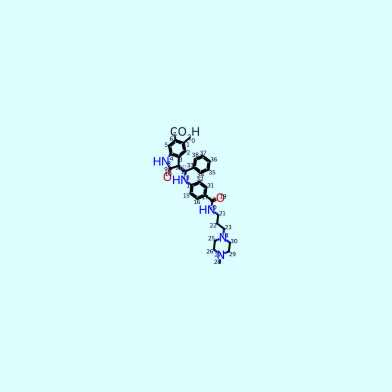 Cc1cc2c(cc1C(=O)O)NC(=O)/C2=C(\Nc1ccc(C(=O)NCCCN2CCN(C)CC2)cc1)c1ccccc1